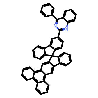 c1ccc(-c2nc(-c3ccc4c(c3)-c3ccccc3C43c4ccccc4-c4cc5c6ccccc6c6ccccc6c5cc43)nc3ccccc23)cc1